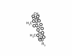 Cc1cc(C)cc(N(c2ccc3c(c2)C(c2ccccc2)(c2ccccc2)c2cc(N(c4cc(C)cc(C)c4)c4cccc5c4oc4c(-c6ccccc6C)cccc45)c4ccccc4c2-3)c2cccc3c2oc2c(-c4ccccc4C)cccc23)c1